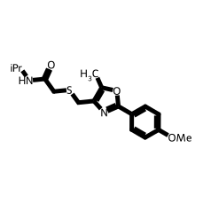 COc1ccc(-c2nc(CSCC(=O)NC(C)C)c(C)o2)cc1